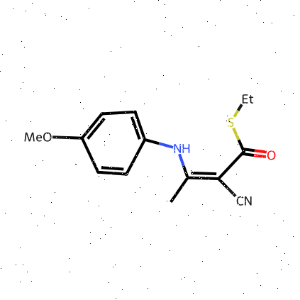 CCSC(=O)/C(C#N)=C(/C)Nc1ccc(OC)cc1